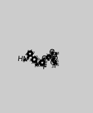 CNCc1ccccc1[C@H]1CC[C@H](N(C)c2cc(F)cc(O[C@H]3C[C@@H](C(=O)OC)N(C(=O)OC(C)(C)C)C3)c2)CC1